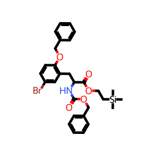 C[Si](C)(C)CCOC(=O)C(Cc1cc(Br)ccc1OCc1ccccc1)NC(=O)OCc1ccccc1